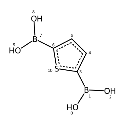 OB(O)c1ccc(B(O)O)s1